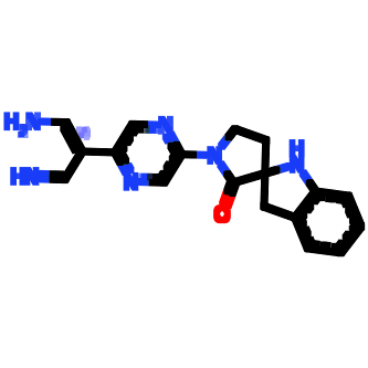 N=C/C(=C\N)c1cnc(N2CCC3(Cc4ccccc4N3)C2=O)cn1